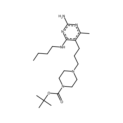 CCCCNc1nc(N)nc(C)c1CCCN1CCN(C(=O)OC(C)(C)C)CC1